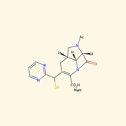 CC(=O)N1C[C@H]2CC(C(S)c3ncccn3)=C(C(=O)O)N3C(=O)[C@@H]1[C@@H]23.[NaH]